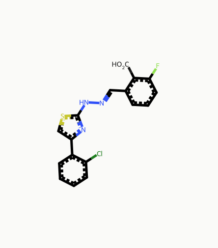 O=C(O)c1c(F)cccc1C=NNc1nc(-c2ccccc2Cl)cs1